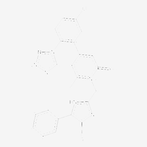 Cc1cc(-c2cc(Cl)ccc2-n2cnnn2)cc(=O)n1Cc1nc(Cl)c(-c2cc[c]cc2)[nH]1